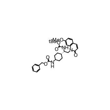 COc1ccc2ccc(=O)n(CC(NC(=O)OC(C)(C)C)[C@H]3CC[C@H](NC(=O)OCc4ccccc4)CC3)c2c1